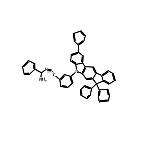 NC(/N=N\Cc1cccc(-n2c3ccc(-c4ccccc4)cc3c3cc4c(cc32)C(c2ccccc2)(c2ccccc2)c2ccccc2-4)c1)c1ccccc1